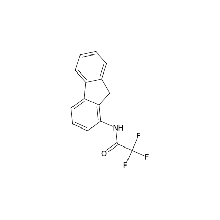 O=C(Nc1cccc2c1Cc1ccccc1-2)C(F)(F)F